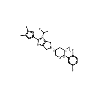 Cc1cc(-c2nc3c(n2C(F)F)CN([C@H]2CO[C@H](c4cc(F)ccc4F)[C@@H](N)C2)C3)nn1C